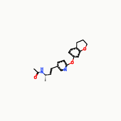 CC(=O)N[C@@H](C)/C=C/c1ccc(Oc2ccc3c(c2)OCCC3)nc1